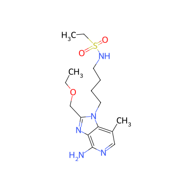 CCOCc1nc2c(N)ncc(C)c2n1CCCCNS(=O)(=O)CC